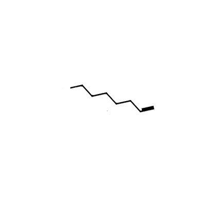 [AlH3].[CH2]CCCCCCCCCC=C